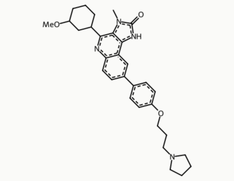 COC1CCCC(c2nc3ccc(-c4ccc(OCCCN5CCCC5)cc4)cc3c3[nH]c(=O)n(C)c23)C1